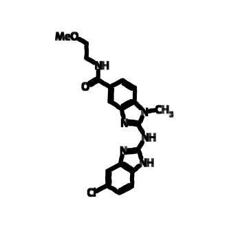 COCCNC(=O)c1ccc2c(c1)nc(Nc1nc3cc(Cl)ccc3[nH]1)n2C